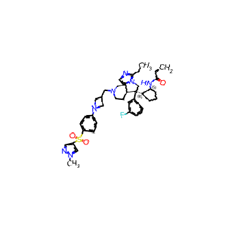 C=CC(=O)N[C@H]1CCC[C@@H]1C(Cn1ccnc1CC)(c1cccc(F)c1)C1CCN(CC2CN(c3ccc(S(=O)(=O)c4cnn(C)c4)cc3)C2)CC1